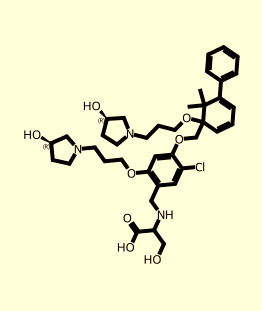 CC1(C)C(c2ccccc2)=CC=CC1(COc1cc(OCCCN2CC[C@@H](O)C2)c(CNC(CO)C(=O)O)cc1Cl)OCCCN1CC[C@@H](O)C1